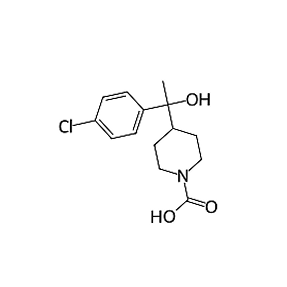 CC(O)(c1ccc(Cl)cc1)C1CCN(C(=O)O)CC1